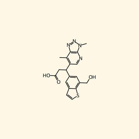 Cc1c(C(CC(=O)O)c2cc(CO)c3sccc3c2)cnc2c1nnn2C